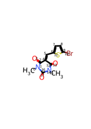 CN1C(=O)C(=Cc2ccc(Br)s2)C(=O)N(C)C1=O